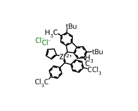 Cc1cc2c(cc1C(C)(C)C)-c1cc(C(C)(C)C)c(C)cc1[CH]2[Zr+2]([C]1=CC=CC1)=[C](c1ccc(C(Cl)(Cl)Cl)cc1)c1ccc(C(Cl)(Cl)Cl)cc1.[Cl-].[Cl-]